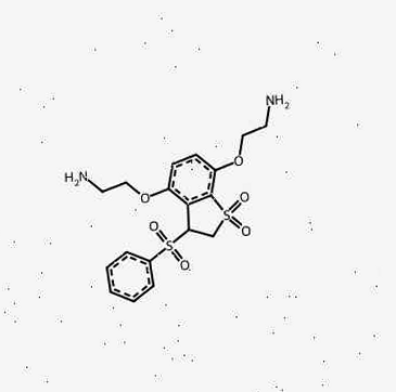 NCCOc1ccc(OCCN)c2c1C(S(=O)(=O)c1ccccc1)CS2(=O)=O